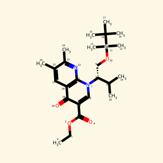 CCOC(=O)c1cn([C@H](CO[Si](C)(C)C(C)(C)C)C(C)C)c2nc(C)c(C)cc2c1=O